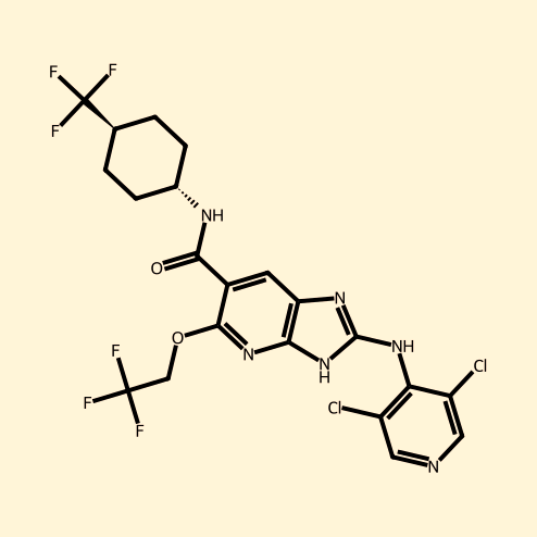 O=C(N[C@H]1CC[C@H](C(F)(F)F)CC1)c1cc2nc(Nc3c(Cl)cncc3Cl)[nH]c2nc1OCC(F)(F)F